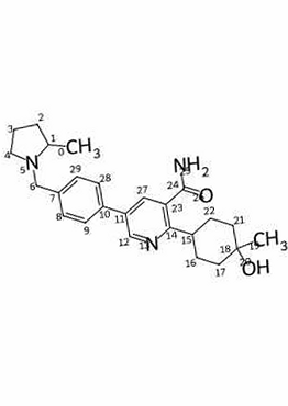 CC1CCCN1Cc1ccc(-c2cnc(C3CCC(C)(O)CC3)c(C(N)=O)c2)cc1